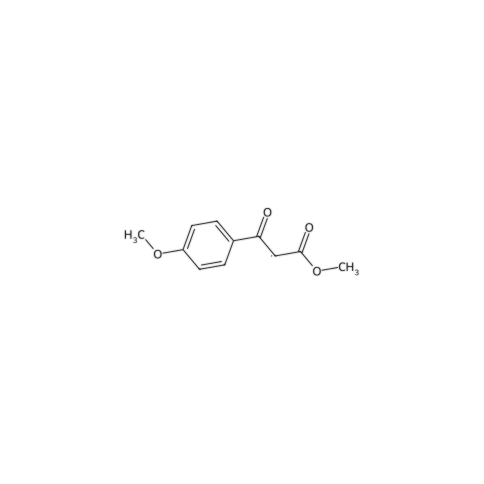 COC(=O)[CH]C(=O)c1ccc(OC)cc1